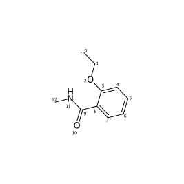 [CH2]COc1ccccc1C(=O)NC